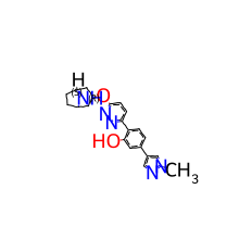 Cn1cc(-c2ccc(-c3ccc(O[C@@H]4CC5CC[C@@H](C4)N5)nn3)c(O)c2)cn1